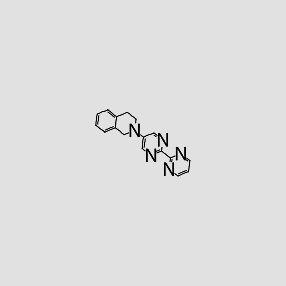 c1cnc(-c2ncc(N3CCc4ccccc4C3)cn2)nc1